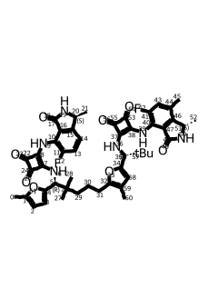 Cc1ccc([C@H](Nc2c(Nc3c(F)ccc4c3C(=O)N[C@H]4C)c(=O)c2=O)C(C)(C)CCCc2oc([C@H](Nc3c(Nc4c(F)cc(C)c5c4C(=O)N[C@H]5C)c(=O)c3=O)C(C)(C)C)cc2C)o1